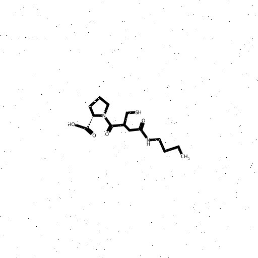 CCCCNC(=O)CC(CS)C(=O)N1CCC[C@H]1C(=O)O